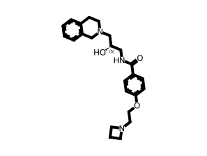 O=C(NC[C@H](O)CN1CCc2ccccc2C1)c1ccc(OCCN2CCC2)cc1